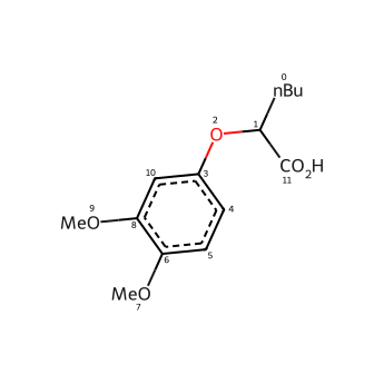 CCCCC(Oc1ccc(OC)c(OC)c1)C(=O)O